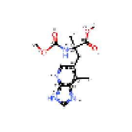 COC(=O)N[C@@](C)(Cc1cnc2[nH]cnc2c1C)C(=O)OC